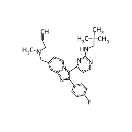 C#CCN(C)Cc1ccn2c(-c3ccnc(NCC(C)(C)C)n3)c(-c3ccc(F)cc3)nc2c1